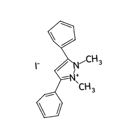 Cn1c(-c2ccccc2)cc(-c2ccccc2)[n+]1C.[I-]